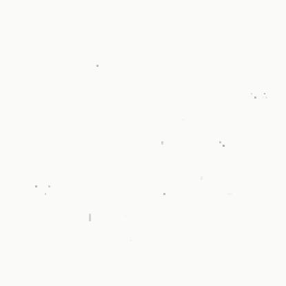 CCN(C(=O)CNC(=O)[C@@H](C)NC(=O)[C@H](Cc1ccc(O)cc1)NC)[C@@H](Cc1cccc(Cl)c1)C(=O)O